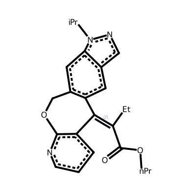 CCCOC(=O)/C(CC)=C1/c2cc3cnn(C(C)C)c3cc2COc2ncccc21